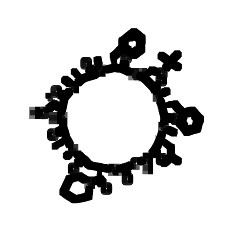 CC(C)C[C@H]1C(=O)NCC(=O)N[C@H](C(=O)N2CCCCC2)CC(=O)N(C)[C@@H](C)C(=O)N[C@@H]([C@@H](C)O)C(=O)N(C)[C@@H](C)C(=O)N(C)[C@@H](Cc2ccccc2)C(=O)N[C@@H](COC(C)(C)C)C(=O)N(C)[C@@H](Cc2ccccc2)C(=O)N1C